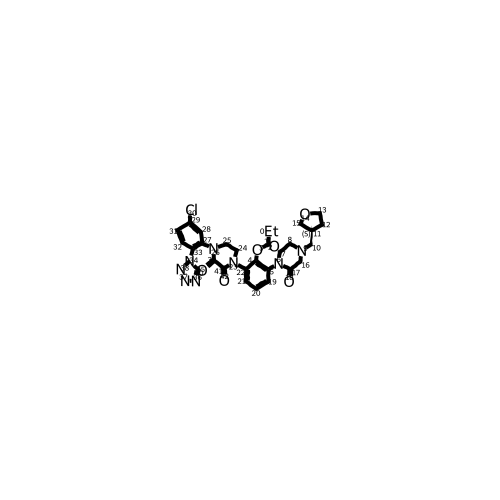 CCC(=O)Oc1c(N2CCN(C[C@@H]3CCOC3)CC2=O)cccc1N1CCN(c2cc(Cl)ccc2-n2cnnn2)C(=O)C1=O